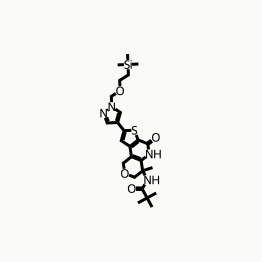 CC(C)(C)C(=O)NC1(C)COCc2c1[nH]c(=O)c1sc(-c3cnn(COCC[Si](C)(C)C)c3)cc21